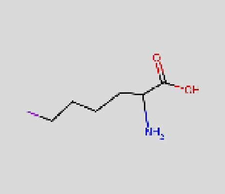 NC(CCCCI)C(=O)O